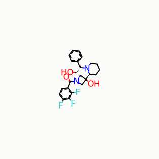 O=C(c1ccc(F)c(F)c1F)N1CC(O)([C@@H]2CCCCN2[C@H](CO)c2ccccc2)C1